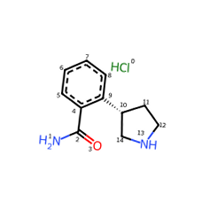 Cl.NC(=O)c1ccccc1[C@@H]1CCNC1